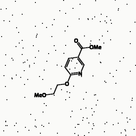 COCCOc1ccc(C(=O)OC)cn1